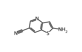 N#Cc1cnc2cc(N)sc2c1